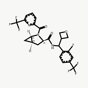 O=C(NC(c1ccc(C(F)(F)F)cc1F)C1COC1)[C@H]1C[C@H]2C[C@H]2N1C(=O)c1cccc(C(F)(F)F)n1